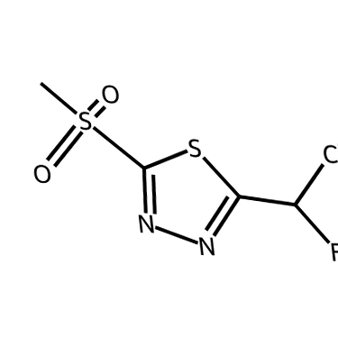 CS(=O)(=O)c1nnc(C(F)Cl)s1